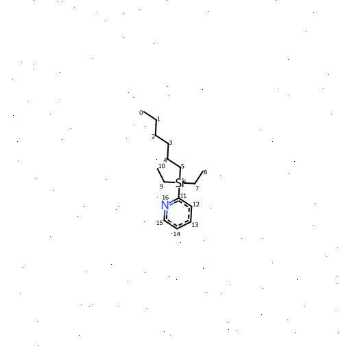 CCCCCC[Si](CC)(CC)c1ccccn1